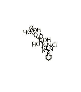 CO[C@H](COCP(=O)(O)O)[C@@H](O)[C@@H](O)n1cnc2c(N3CCCCC3)nc(Cl)nc21